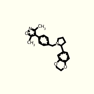 Cc1noc(C)c1-c1ccc(CN2CCCC2c2ccc3c(c2)OCCO3)cc1